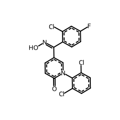 O=c1ccc(/C(=N\O)c2ccc(F)cc2Cl)cn1-c1c(Cl)cccc1Cl